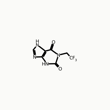 O=c1[nH]c2nc[nH]c2c(=O)n1CC(F)(F)F